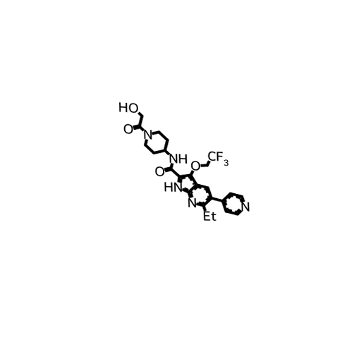 CCc1nc2[nH]c(C(=O)NC3CCN(C(=O)CO)CC3)c(OCC(F)(F)F)c2cc1-c1ccncc1